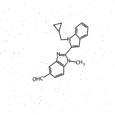 Cn1c(-c2cc3ccccc3n2CC2CC2)nc2cc(C=O)ccc21